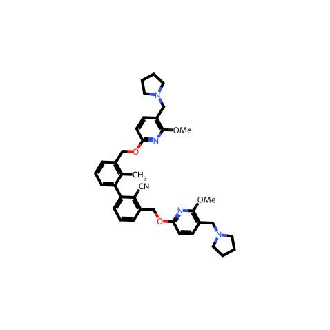 COc1nc(OCc2cccc(-c3cccc(COc4ccc(CN5CCCC5)c(OC)n4)c3C#N)c2C)ccc1CN1CCCC1